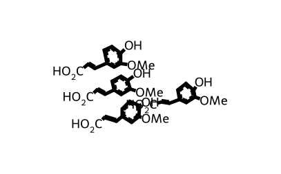 COc1cc(/C=C/C(=O)O)ccc1O.COc1cc(/C=C/C(=O)O)ccc1O.COc1cc(/C=C/C(=O)O)ccc1O.COc1cc(/C=C/C(=O)O)ccc1O